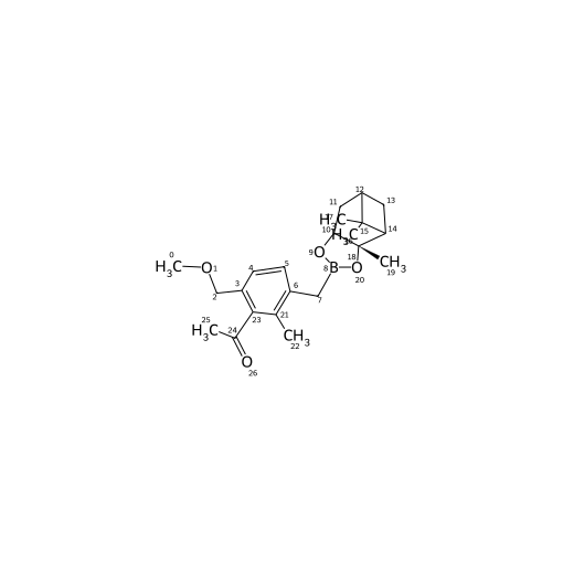 COCc1ccc(CB2OC3CC4CC(C4(C)C)[C@]3(C)O2)c(C)c1C(C)=O